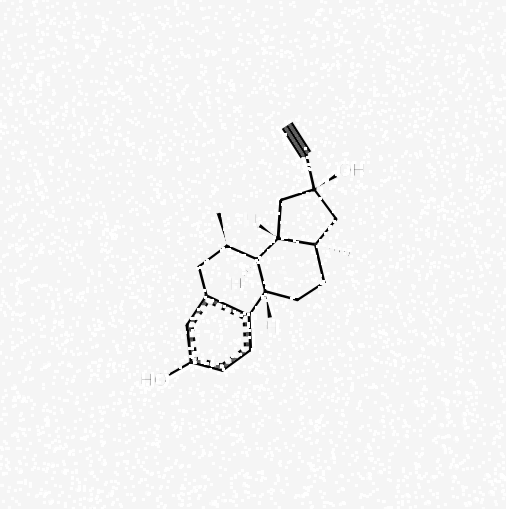 C#C[C@@]1(O)C[C@H]2[C@@H]3[C@H](C)Cc4cc(O)ccc4[C@H]3CC[C@]2(C)C1